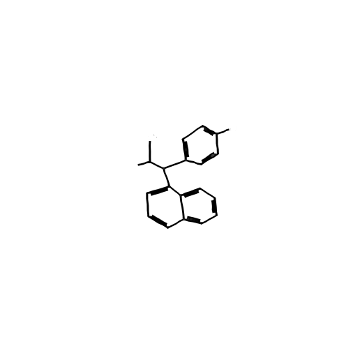 N#CC(C(=O)O)C(c1ccc(Cl)cc1)c1cccc2ccccc12